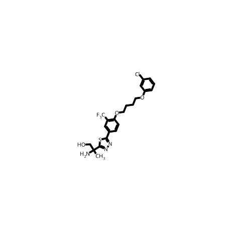 CC(N)(CO)c1nnc(-c2ccc(OCCCCOc3cccc(Cl)c3)c(C(F)(F)F)c2)s1